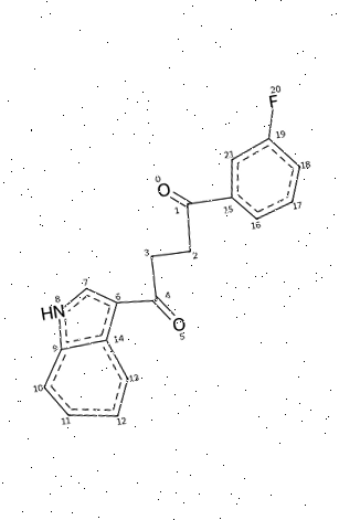 O=C(CCC(=O)c1c[nH]c2ccccc12)c1cccc(F)c1